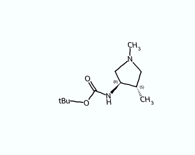 C[C@H]1CN(C)C[C@@H]1NC(=O)OC(C)(C)C